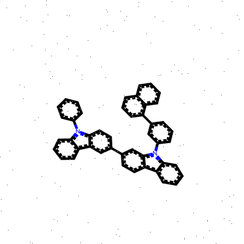 c1ccc(-n2c3ccccc3c3cc(-c4ccc5c6ccccc6n(-c6cccc(-c7cccc8ccccc78)c6)c5c4)ccc32)cc1